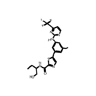 CCC(CO)NC(=O)c1ncc(-c2cc(C)cc(Nc3nccc(C(F)(F)F)n3)c2)s1